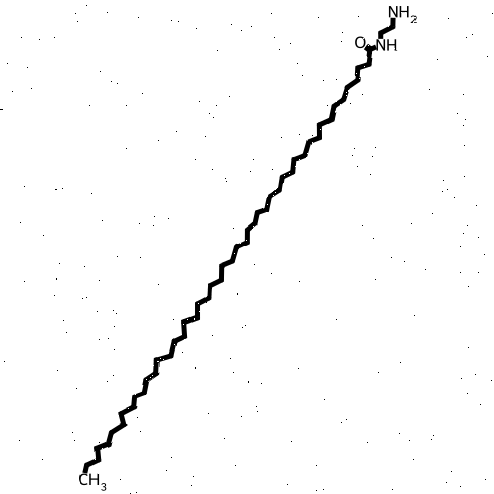 CCCCCCCCCCCCCCCCCCCCCCCCCCCCCCCCCCCCCCCCCCCCCCCC(=O)NCCN